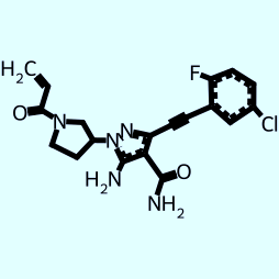 C=CC(=O)N1CCC(n2nc(C#Cc3cc(Cl)ccc3F)c(C(N)=O)c2N)C1